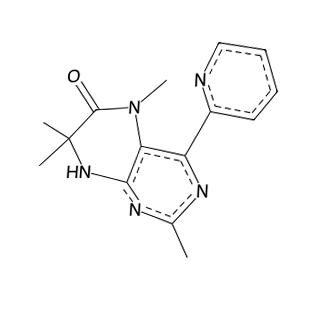 Cc1nc2c(c(-c3ccccn3)n1)N(C)C(=O)C(C)(C)N2